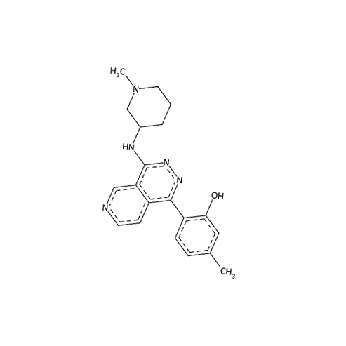 Cc1ccc(-c2nnc(NC3CCCN(C)C3)c3cnccc23)c(O)c1